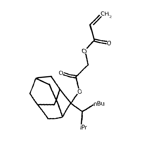 C=CC(=O)OCC(=O)OC1(C(CCCC)C(C)C)C2CC3CC(C2)CC1C3